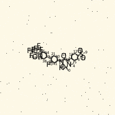 CC(=O)N1Cc2cc(S(C)(=O)=O)ccc2[C@@H]1C(=O)Nc1ccc(-c2ccc(C(O)(C(F)(F)F)C(F)(F)F)cc2)c(F)c1